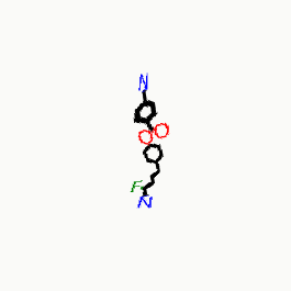 N#CC(F)=CC=CC1CCC(OC(=O)c2ccc(C#N)cc2)CC1